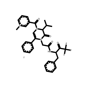 CC(C)C1C(=O)N(CC(=O)NC(Cc2ccccc2)C(=O)C(F)(F)F)C(c2ccccc2)=CN1C(=O)c1ccc[n+](C)c1.[I-]